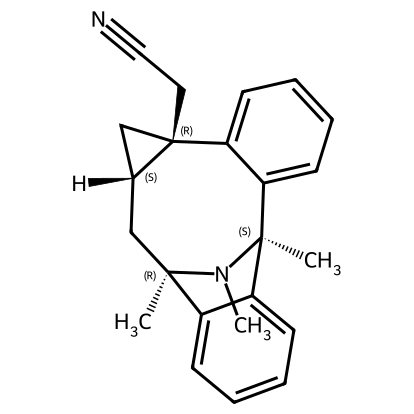 CN1[C@@]2(C)c3ccccc3[C@@]3(CC#N)C[C@H]3C[C@]1(C)c1ccccc12